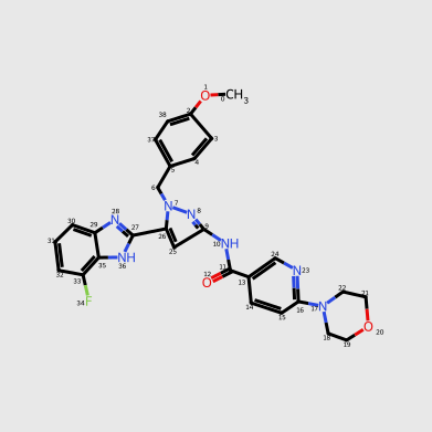 COc1ccc(Cn2nc(NC(=O)c3ccc(N4CCOCC4)nc3)cc2-c2nc3cccc(F)c3[nH]2)cc1